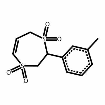 Cc1cccc(C2CS(=O)(=O)C=CCS2(=O)=O)c1